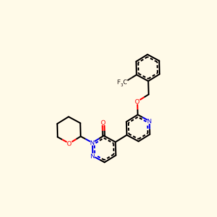 O=c1c(-c2ccnc(OCc3ccccc3C(F)(F)F)c2)ccnn1C1CCCCO1